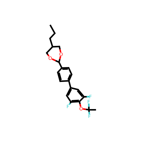 CCCC1COC(c2ccc(-c3cc(F)c(OC(C)(F)F)c(F)c3)cc2)OC1